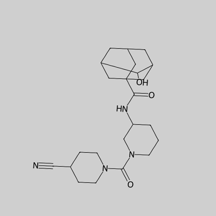 N#CC1CCN(C(=O)N2CCCC(NC(=O)C34CC5CC(C3)C(O)C(C5)C4)C2)CC1